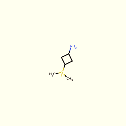 C[SH](C)C1CC(N)C1